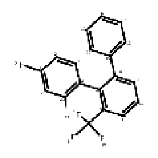 Fc1ccc(-c2c(C(F)(F)F)[c]ccc2-c2ccccc2)c(F)c1